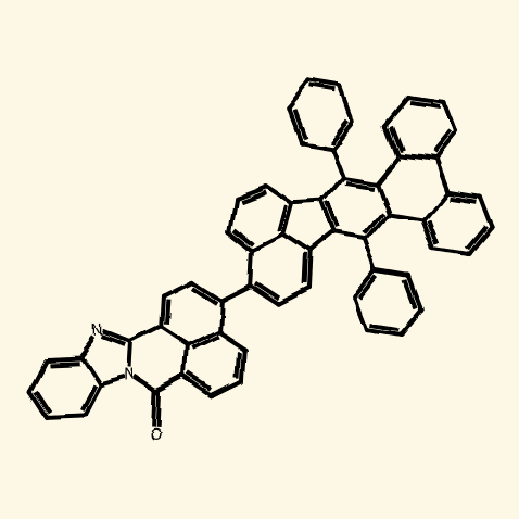 O=c1c2cccc3c(-c4ccc5c6c(cccc46)-c4c-5c(-c5ccccc5)c5c6ccccc6c6ccccc6c5c4-c4ccccc4)ccc(c32)c2nc3ccccc3n12